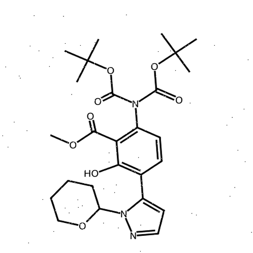 COC(=O)c1c(N(C(=O)OC(C)(C)C)C(=O)OC(C)(C)C)ccc(-c2ccnn2C2CCCCO2)c1O